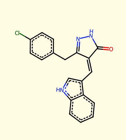 O=C1NN=C(Cc2ccc(Cl)cc2)C1=Cc1c[nH]c2ccccc12